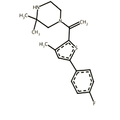 C=C(c1sc(-c2ccc(F)cc2)cc1C)N1CCNC(C)(C)C1